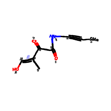 CSC#CNC(=O)C(=O)/C(C)=C/O